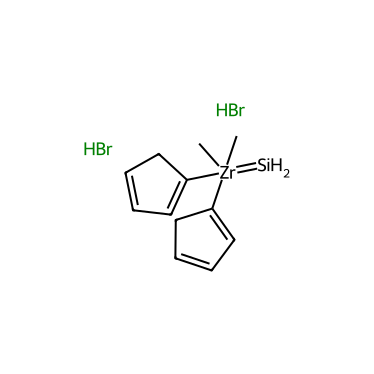 Br.Br.[CH3][Zr]([CH3])(=[SiH2])([C]1=CC=CC1)[C]1=CC=CC1